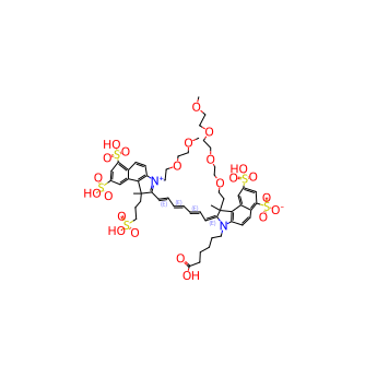 COCCOCCOCCOCCC1(C)\C(=C/C=C/C=C/C=C/C2=[N+](CCOCCOC)c3ccc4c(S(=O)(=O)O)cc(S(=O)(=O)O)cc4c3C2(C)CCCS(=O)(=O)O)N(CCCCCC(=O)O)c2ccc3c(S(=O)(=O)[O-])cc(S(=O)(=O)O)cc3c21